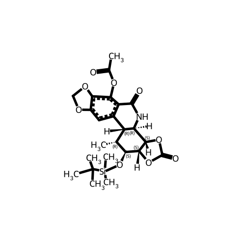 CC(=O)Oc1c2c(cc3c1C(=O)N[C@H]1[C@@H]4OC(=O)O[C@@H]4[C@@H](O[Si](C)(C)C(C)(C)C)[C@H](C)[C@H]31)OCO2